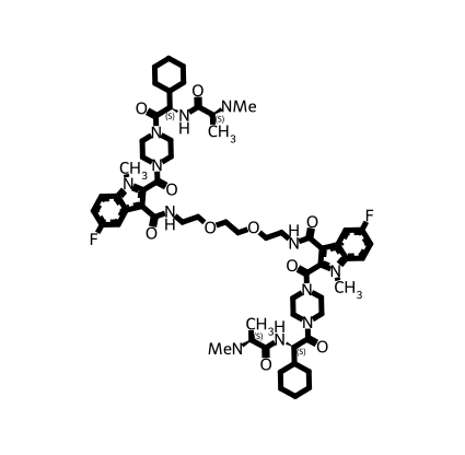 CN[C@@H](C)C(=O)N[C@H](C(=O)N1CCN(C(=O)c2c(C(=O)NCCOCCOCCNC(=O)c3c(C(=O)N4CCN(C(=O)[C@@H](NC(=O)[C@H](C)NC)C5CCCCC5)CC4)n(C)c4ccc(F)cc34)c3cc(F)ccc3n2C)CC1)C1CCCCC1